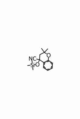 CC1(C)CC(C#N)(O[Si](C)(C)C)c2ccccc2O1